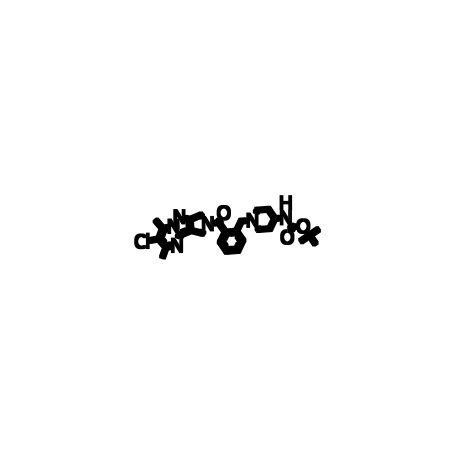 Cc1nc2c3c(nn2c(C)c1Cl)CN(C(=O)c1ccccc1CN1CCC(NC(=O)OC(C)(C)C)CC1)C3